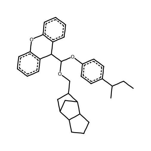 CCC(C)c1ccc(OC(OCC2CC3CC2C2CCCC32)C2c3ccccc3Oc3ccccc32)cc1